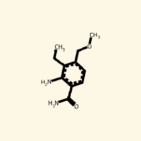 CCc1c(COC)ccc(C(N)=O)c1N